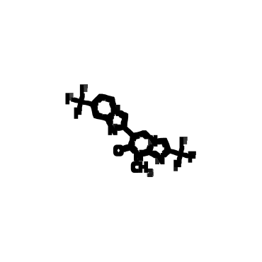 Cn1c(=O)c(-c2cn3ccc(C(F)(F)F)cc3n2)cn2cc(C(F)(F)F)nc12